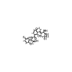 CCC1(CC)CC(=O)N([C@@H]2CCOc3ccc(C(=O)N[C@H]4c5cc(F)ccc5OC[C@@H]4O)cc32)C(=N)N1